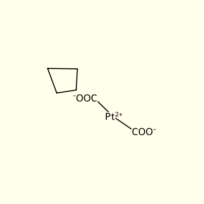 C1CCC1.O=[C]([O-])[Pt+2][C](=O)[O-]